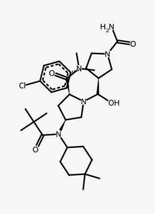 CN(C)C(=O)[C@@H]1C[C@H](N(C(=O)C(C)(C)C)C2CCC(C)(C)CC2)CN1C(O)[C@@H]1CN(C(N)=O)C[C@H]1c1ccc(Cl)cc1